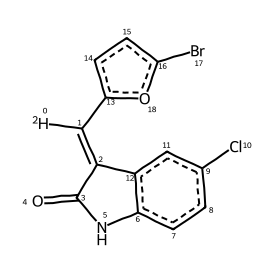 [2H]/C(=C1\C(=O)Nc2ccc(Cl)cc21)c1ccc(Br)o1